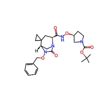 CC(C)(C)OC(=O)N1CC[C@H](ONC(=O)[C@@H]2CC3(CC3)[C@@H]3CN2C(=O)N3OCc2ccccc2)C1